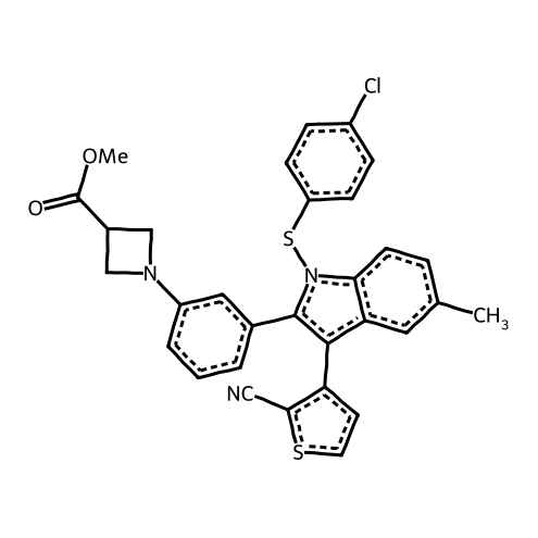 COC(=O)C1CN(c2cccc(-c3c(-c4ccsc4C#N)c4cc(C)ccc4n3Sc3ccc(Cl)cc3)c2)C1